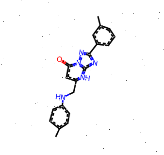 Cc1ccc(NCc2cc(=O)n3nc(-c4cccc(C)c4)nc3[nH]2)cc1